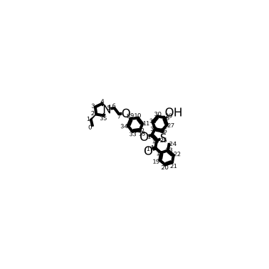 CC[C@H]1CCN(CCOc2ccc(Oc3c(C(=O)c4ccccc4C)sc4cc(O)ccc34)cc2)C1